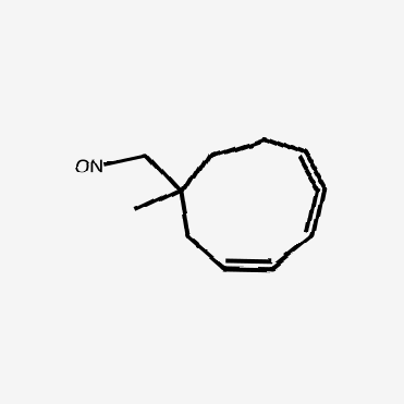 CC1(CN=O)C/C=C\C=C=CCC1